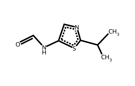 CC(C)c1ncc(NC=O)s1